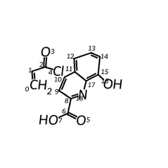 C=CC(=O)Cl.O=C(O)c1ccc2cccc(O)c2n1